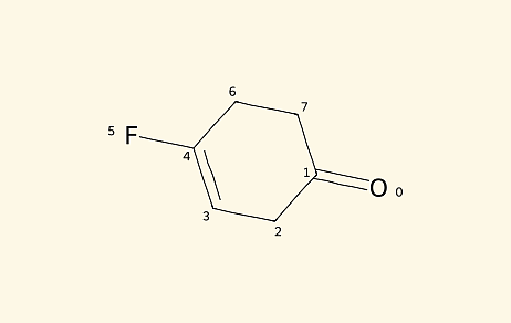 O=C1CC=C(F)CC1